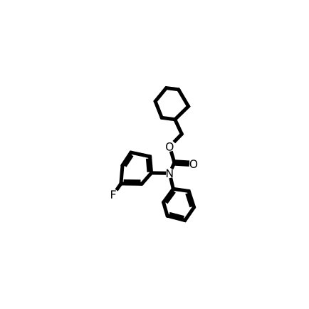 O=C(OCC1CCCCC1)N(c1ccccc1)c1cccc(F)c1